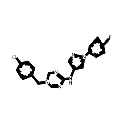 Fc1ccc(-n2cc(NC3=NCN(Cc4ccc(Cl)cc4)C=N3)cn2)cc1